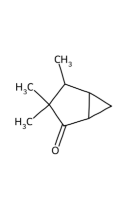 CC1C2CC2C(=O)C1(C)C